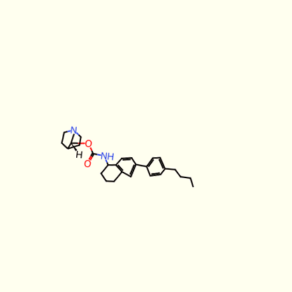 CCCCc1ccc(-c2ccc3c(c2)CCCC3NC(=O)O[C@H]2CN3CCC2CC3)cc1